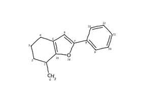 CC1CCCc2cc(-c3ccccc3)oc21